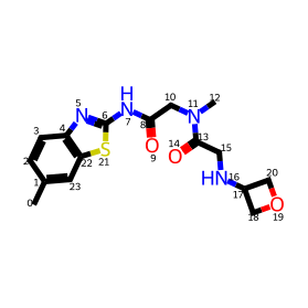 Cc1ccc2nc(NC(=O)CN(C)C(=O)CNC3COC3)sc2c1